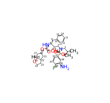 CC(C)CN(C[C@@H](O)[C@H](Cc1ccccc1)NC(=O)O[C@@H]1CC2CCO[C@@H]2C1)S(=O)(=O)c1ccc(F)c(N)c1